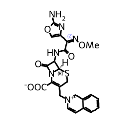 CO/N=C(\C(=O)NC1C(=O)N2C(C(=O)[O-])=C(C[n+]3ccc4ccccc4c3)CS[C@H]12)c1coc(N)n1